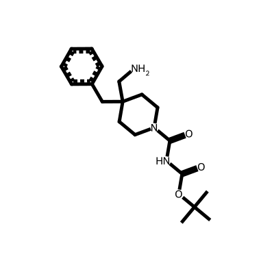 CC(C)(C)OC(=O)NC(=O)N1CCC(CN)(Cc2ccccc2)CC1